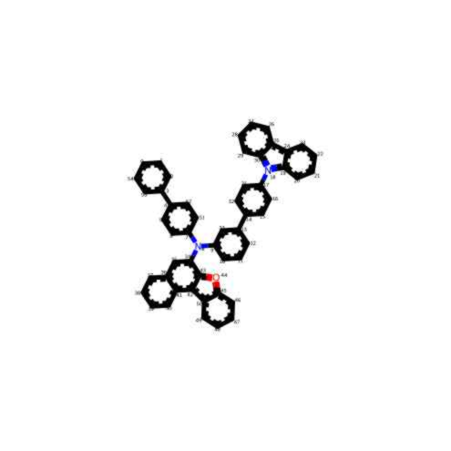 c1ccc(-c2ccc(N(c3cccc(-c4ccc(-n5c6ccccc6c6ccccc65)cc4)c3)c3cc4ccccc4c4c3oc3ccccc34)cc2)cc1